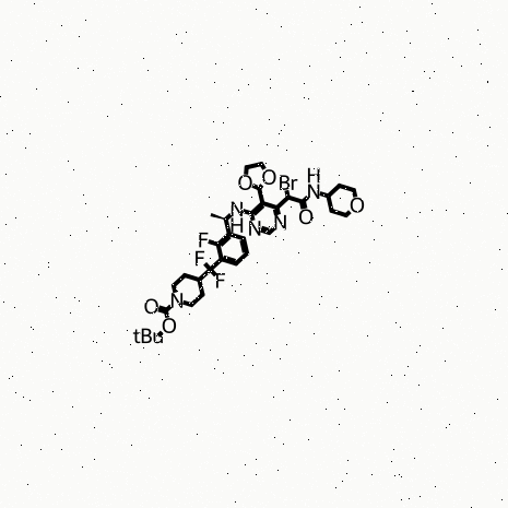 C[C@@H](Nc1ncnc(C(Br)C(=O)NC2CCOCC2)c1C1OCCO1)c1cccc(C(F)(F)C2CCN(C(=O)OC(C)(C)C)CC2)c1F